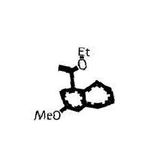 C=C(OCC)c1cc(OC)cc2ccccc12